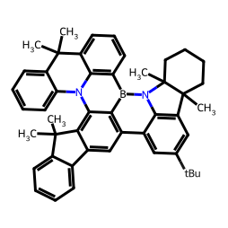 CC(C)(C)c1cc2c3c(c1)C1(C)CCCCC1(C)N3B1c3cccc4c3N(c3ccccc3C4(C)C)c3c1c-2cc1c3C(C)(C)c2ccccc2-1